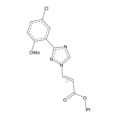 COc1ccc(Cl)cc1-c1ncn(/C=C/C(=O)OC(C)C)n1